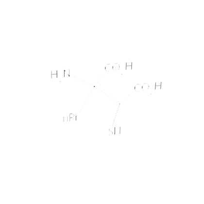 CCCC(N)(C(=O)O)C(S)C(=O)O